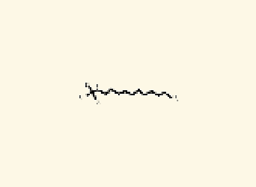 CCC(C)(CC)NCCCCCCCCCCN